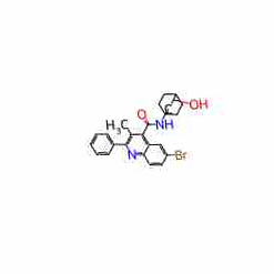 Cc1c(-c2ccccc2)nc2ccc(Br)cc2c1C(=O)NC12CCC(CC1)C(O)C2